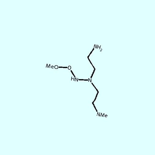 CNCCN(CCN)NOOC